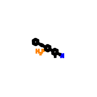 Cc1cc(-c2ccc(C#Cc3ccccc3)c(P)c2)ccc1C#N